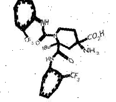 CC(C)(C)C1(C(=O)Nc2ccccc2C(F)(F)F)CC(N)(C(=O)O)CCN1C(=O)Nc1ccccc1C(F)(F)F